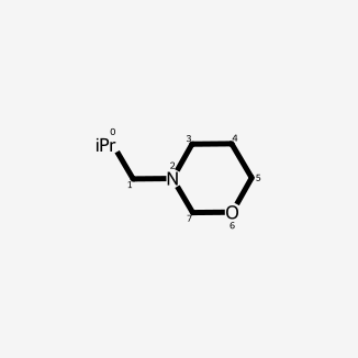 CC(C)CN1CCCOC1